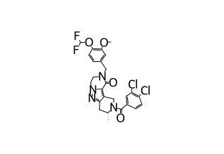 COc1cc(CN2CCn3nc4c(c3C2=O)CN(C(=O)c2ccc(Cl)c(Cl)c2)[C@H](C)C4)ccc1OC(F)F